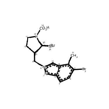 Cc1c(Br)ccc2nn(CC3CCN(C(=O)O)C3C(C)(C)C)cc12